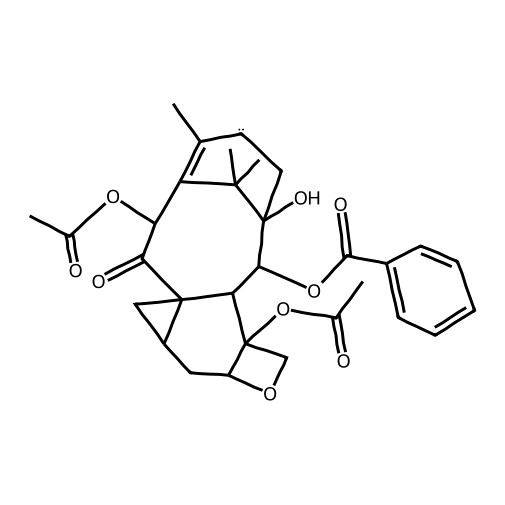 CC(=O)OC1C(=O)C23CC2CC2OCC2(OC(C)=O)C3C(OC(=O)c2ccccc2)C2(O)C[C]C(C)=C1C2(C)C